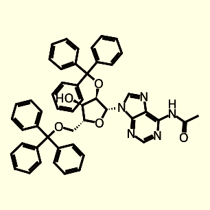 CC(=O)Nc1ncnc2c1ncn2[C@@H]1O[C@H](COC(c2ccccc2)(c2ccccc2)c2ccccc2)[C@@H](O)[C@H]1OC(c1ccccc1)(c1ccccc1)c1ccccc1